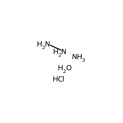 Cl.N.NN.O